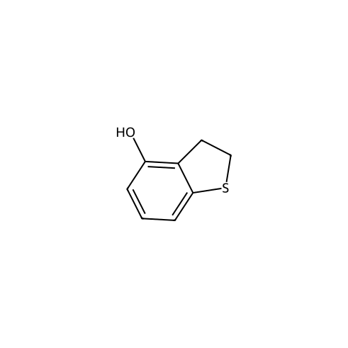 Oc1cccc2c1CCS2